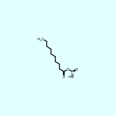 CCCCCCCCCC(=O)O[PH](=O)O